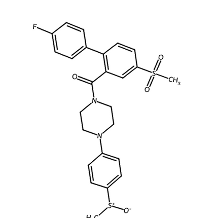 C[S+]([O-])c1ccc(N2CCN(C(=O)c3cc(S(C)(=O)=O)ccc3-c3ccc(F)cc3)CC2)cc1